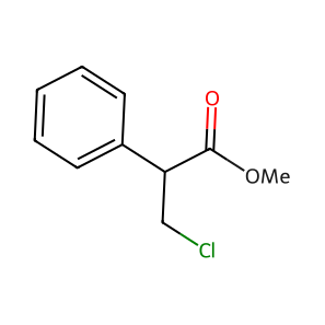 COC(=O)C(CCl)c1ccccc1